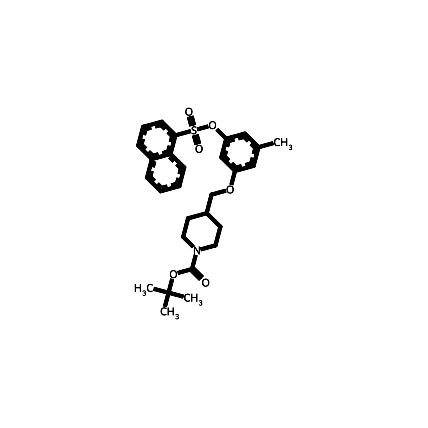 Cc1cc(OCC2CCN(C(=O)OC(C)(C)C)CC2)cc(OS(=O)(=O)c2cccc3ccccc23)c1